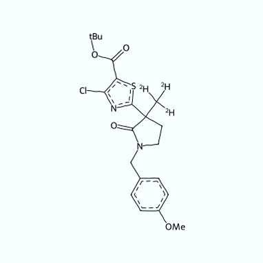 [2H]C([2H])([2H])C1(c2nc(Cl)c(C(=O)OC(C)(C)C)s2)CCN(Cc2ccc(OC)cc2)C1=O